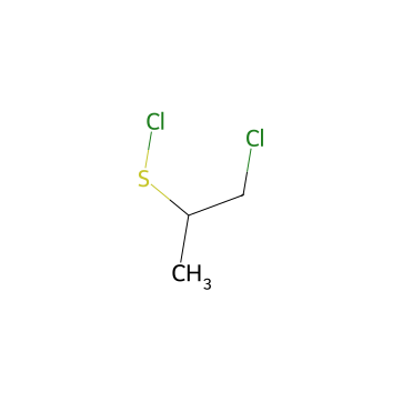 CC(CCl)SCl